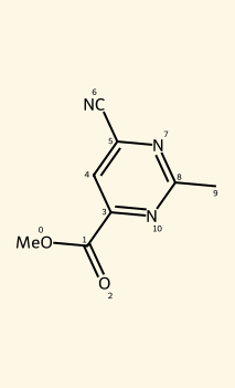 COC(=O)c1cc(C#N)nc(C)n1